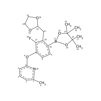 Cc1cccc(Oc2ccc(B3OC(C)(C)C(C)(C)O3)c(CC3OCCO3)c2F)n1